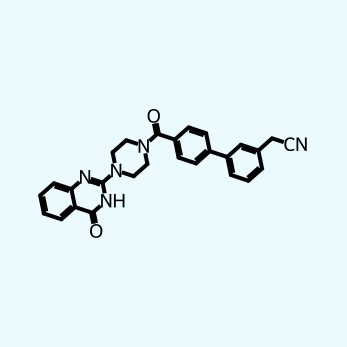 N#CCc1cccc(-c2ccc(C(=O)N3CCN(c4nc5ccccc5c(=O)[nH]4)CC3)cc2)c1